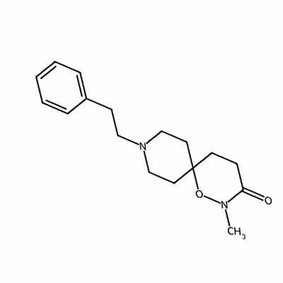 CN1OC2(CCC1=O)CCN(CCc1ccccc1)CC2